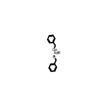 S=[AsH](OCc1ccccc1)OCc1ccccc1